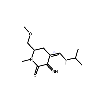 COCC1C/C(=C/NC(C)C)C(=N)C(=O)N1C